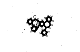 O=C1c2ccccc2-c2cccc3c2CCC1c1cc2c(cc1-3)C(c1ccccc1)CCc1ccccc1-2